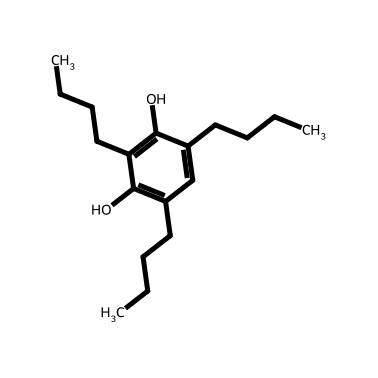 CCCCc1cc(CCCC)c(O)c(CCCC)c1O